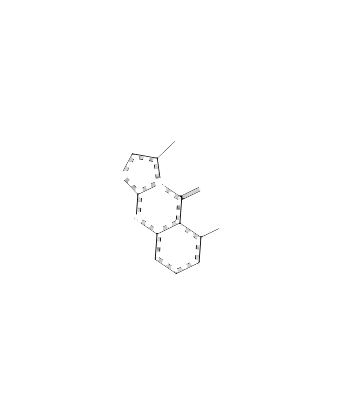 Cc1csc2nc3cccc(Cl)c3c(=O)n12